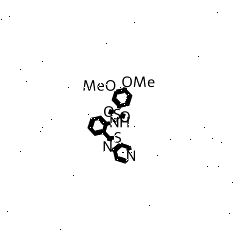 COc1ccc(S(=O)(=O)Nc2ccccc2-c2nc3ccncc3s2)cc1OC